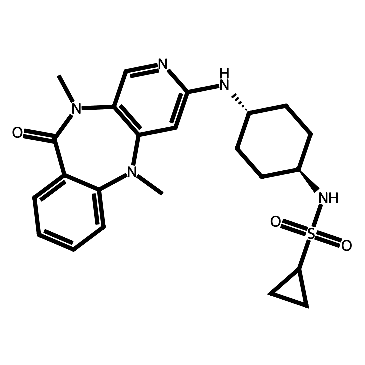 CN1C(=O)c2ccccc2N(C)c2cc(N[C@H]3CC[C@H](NS(=O)(=O)C4CC4)CC3)ncc21